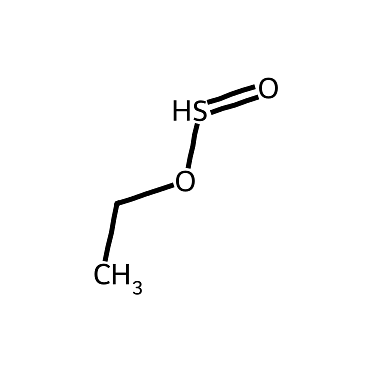 CCO[SH]=O